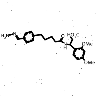 COc1ccc(C(CC(=O)O)NC(=O)CCCCc2ccc(C=NN)cc2)c(OC)c1